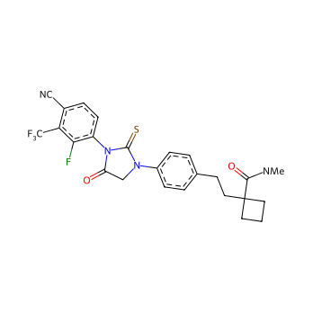 CNC(=O)C1(CCc2ccc(N3CC(=O)N(c4ccc(C#N)c(C(F)(F)F)c4F)C3=S)cc2)CCC1